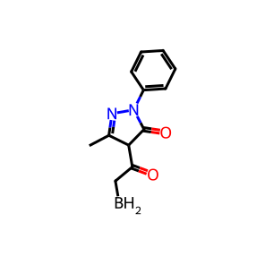 BCC(=O)C1C(=O)N(c2ccccc2)N=C1C